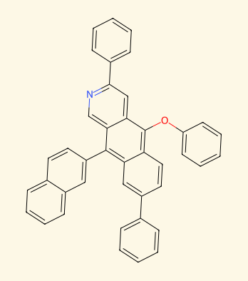 c1ccc(Oc2c3cc(-c4ccccc4)ncc3c(-c3ccc4ccccc4c3)c3cc(-c4ccccc4)ccc23)cc1